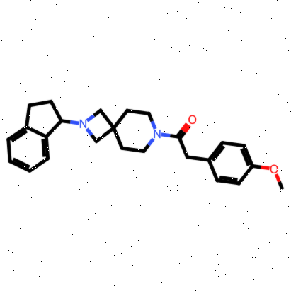 COc1ccc(CC(=O)N2CCC3(CC2)CN(C2CCc4ccccc42)C3)cc1